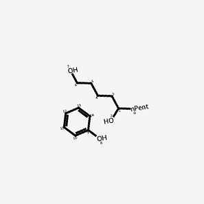 CCCCCC(O)CCCCO.Oc1ccccc1